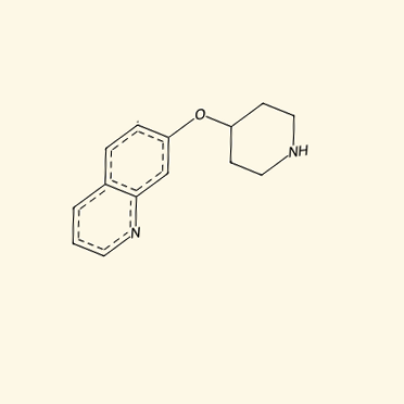 [c]1cc2cccnc2cc1OC1CCNCC1